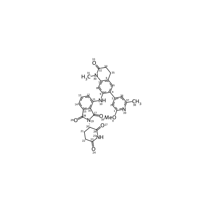 COc1cc(-c2cc3c(cc2Nc2cccc4c2C(=O)N([C@H]2CCC(=O)NC2=O)C4=O)N(C)C(=O)CC3)cc(C)n1